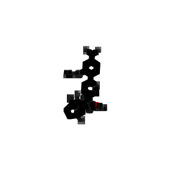 COc1cc(C(F)F)ccc1-c1ccc(N(C)[C@@H]2C[C@H]3CC[C@H]([C@@H]2F)N3C(=O)OC(C)(C)C)nn1